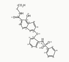 O=C(O)CNC(=O)c1ncc2cc(Oc3ccccc3NS(=O)(=O)c3ccccc3)ccc2c1O